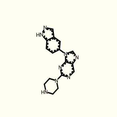 c1cc2[nH]ncc2cc1-n1cnc2cnc(N3CCNCC3)nc21